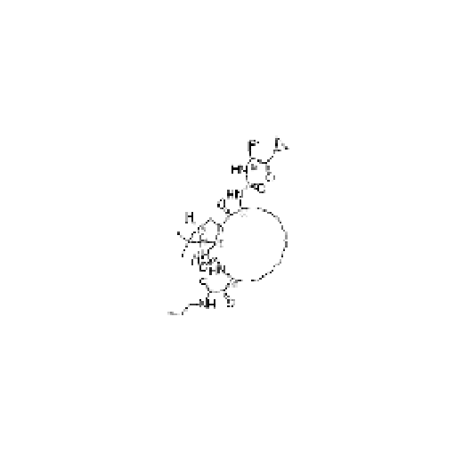 C=CCNC(=O)C(=O)[C@@H]1CCCCCCCCC[C@H](NC(=O)N[C@H](C(=O)C2CC2)C(C)C)C(=O)N2C[C@H]3[C@@H]([C@H]2C(=O)N1)C3(C)C